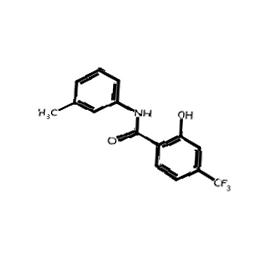 Cc1cccc(NC(=O)c2ccc(C(F)(F)F)cc2O)c1